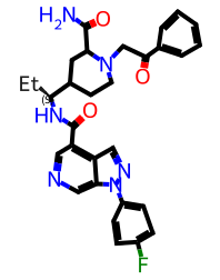 CC[C@H](NC(=O)c1cncc2c1cnn2-c1ccc(F)cc1)C1CCN(CC(=O)c2ccccc2)C(C(N)=O)C1